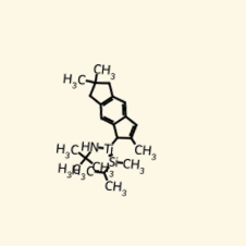 CC1=Cc2cc3c(cc2[CH]1[Ti]([NH]C(C)(C)C)=[Si](C)C(C)C)CC(C)(C)C3